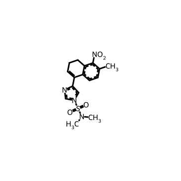 Cc1ccc2c(c1[N+](=O)[O-])CCC=C2c1cn(S(=O)(=O)N(C)C)cn1